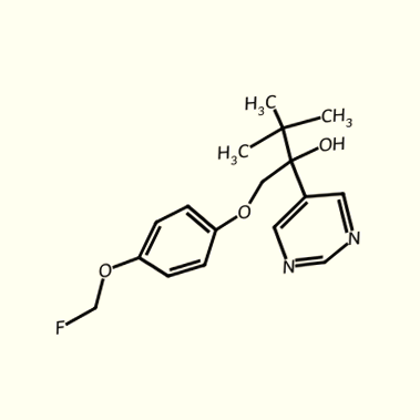 CC(C)(C)C(O)(COc1ccc(OCF)cc1)c1cncnc1